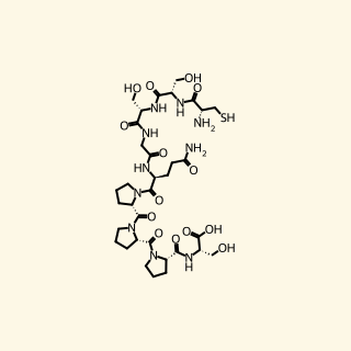 NC(=O)CC[C@H](NC(=O)CNC(=O)[C@H](CO)NC(=O)[C@H](CO)NC(=O)[C@@H](N)CS)C(=O)N1CCC[C@H]1C(=O)N1CCC[C@H]1C(=O)N1CCC[C@H]1C(=O)N[C@@H](CO)C(=O)O